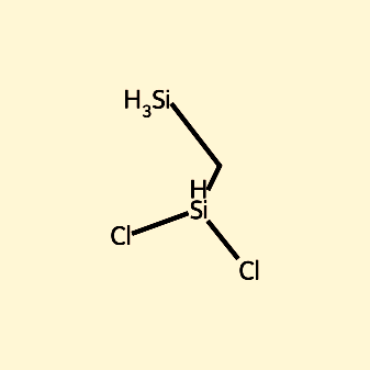 [SiH3]C[SiH](Cl)Cl